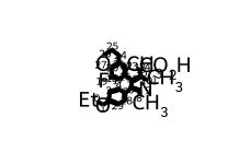 CCOc1ccc(-c2c(C)nc(C)c(CC(=O)O)c2-c2cc(F)c3c(c2C)CCCO3)cc1